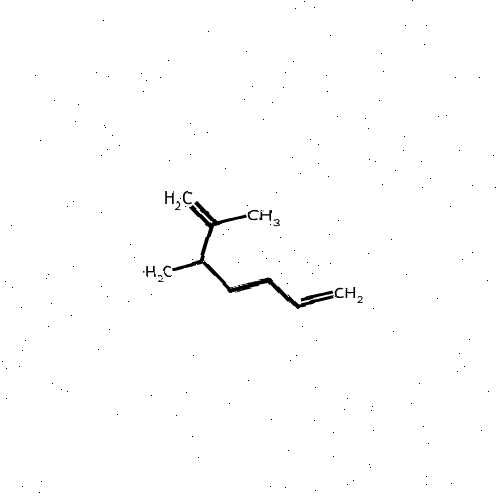 [CH2]C(CCC=C)C(=C)C